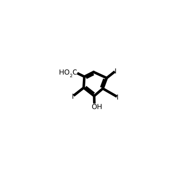 O=C(O)c1cc(I)c(I)c(O)c1I